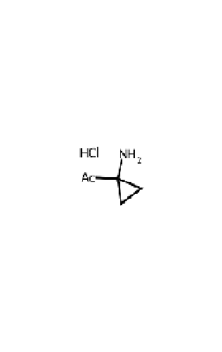 CC(=O)C1(N)CC1.Cl